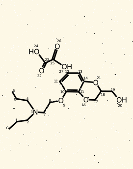 CCCN(CCC)CCOc1cccc2c1OCC(CO)O2.O=C(O)C(=O)O